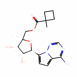 CC1(C(=O)OC[C@@]2(C#N)O[C@@H](c3ccc4c(N)ncnn34)[C@H](O)[C@@H]2O)CCC1